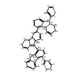 C1=CCCC(N2c3cccc(C4=CC5C6CCC=CC6N(c6ccc(C7=CCCC=C7)c7c6oc6ccccc67)C5C=C4)c3C3C=CCCC32)=C1